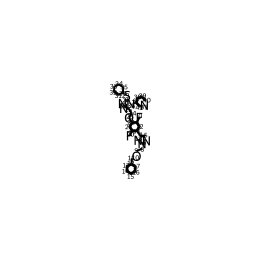 Fc1cc(-c2cnn(CCOCc3ccccc3)n2)c(F)cc1OCc1nnc(SC2C=CCCC2)n1-c1cccnc1